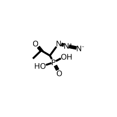 CC(=O)C(N=[N+]=[N-])P(=O)(O)O